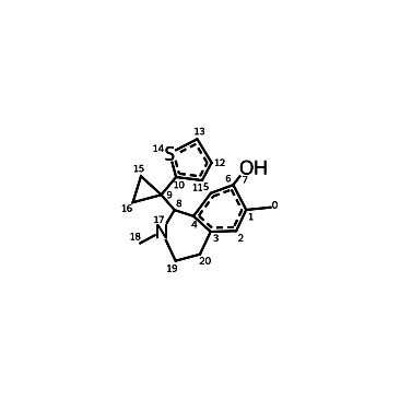 Cc1cc2c(cc1O)C(C1(c3cccs3)CC1)N(C)CC2